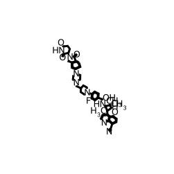 CC1(C)[C@H](NC(O)c2ccc(N3CCC(CN4CCN(c5ccc6c(c5)CN([C@H]5CCC(=O)NC5=O)C6=O)CC4)CC3)c(F)c2)C2(C)c3ccnc4c(C#N)ccc(c34)O[C@@H]12